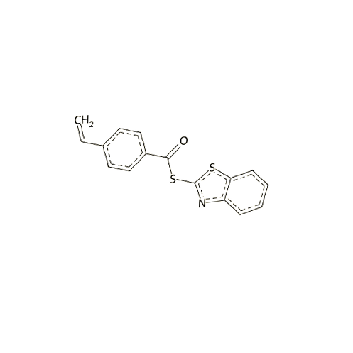 C=Cc1ccc(C(=O)Sc2nc3ccccc3s2)cc1